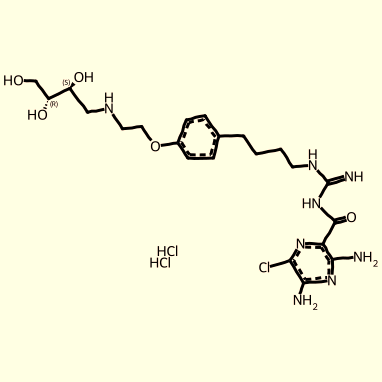 Cl.Cl.N=C(NCCCCc1ccc(OCCNC[C@H](O)[C@H](O)CO)cc1)NC(=O)c1nc(Cl)c(N)nc1N